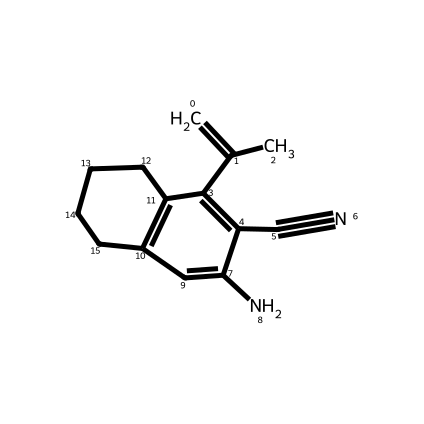 C=C(C)c1c(C#N)c(N)cc2c1CCCC2